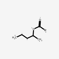 CCCC(C)OC(=O)Br